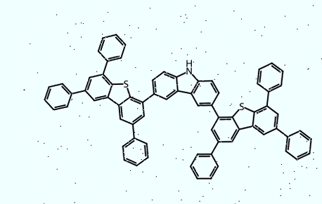 c1ccc(-c2cc(-c3ccccc3)c3sc4c(-c5ccc6[nH]c7ccc(-c8cc(-c9ccccc9)cc9c8sc8c(-c%10ccccc%10)cc(-c%10ccccc%10)cc89)cc7c6c5)cc(-c5ccccc5)cc4c3c2)cc1